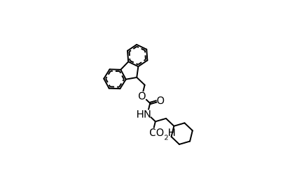 O=C(NC(CC1CCCCC1)C(=O)O)OCC1c2ccccc2-c2ccccc21